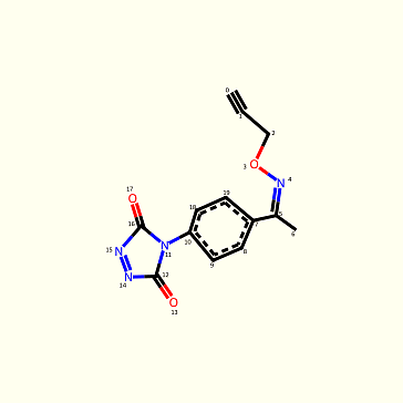 C#CCO/N=C(/C)c1ccc(N2C(=O)N=NC2=O)cc1